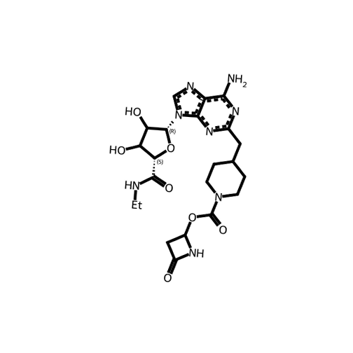 CCNC(=O)[C@H]1O[C@@H](n2cnc3c(N)nc(CC4CCN(C(=O)OC5CC(=O)N5)CC4)nc32)C(O)C1O